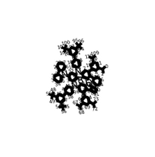 CC(C)c1cc(-c2cc3c(c4oc5ccccc5c24)B2c4c(cc(-n5c6ccccc6c6ccccc65)cc4N(c4ccc(-c5cc(C(C)(C)C)cc(C(C)(C)C)c5)cc4)c4cc(-c5cc(C(C)C)cc(C(C)C)c5)c5c(oc6ccccc65)c42)N3c2ccc(-c3cc(C(C)(C)C)cc(C(C)(C)C)c3)cc2)cc(C(C)C)c1